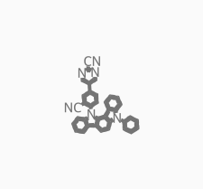 N#Cc1ncc(-c2ccc(-n3c4ccccc4c4ccc5c(c6ccccc6n5-c5ccccc5)c43)c(C#N)c2)cn1